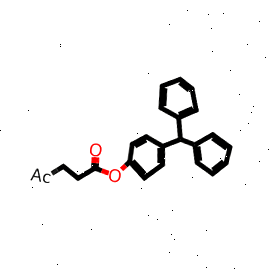 CC(=O)CCC(=O)Oc1ccc([C](c2ccccc2)c2ccccc2)cc1